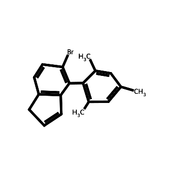 Cc1cc(C)c(-c2c(Br)ccc3c2C=CC3)c(C)c1